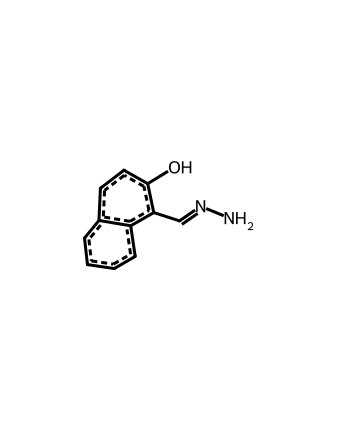 N/N=C/c1c(O)ccc2ccccc12